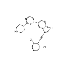 Clc1cccc(Cl)c1C#Cc1c[nH]c2ncc(-c3ccnc(C4CCNCC4)c3)cc12